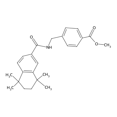 COC(=O)c1ccc(CNC(=O)c2ccc3c(c2)C(C)(C)CCC3(C)C)cc1